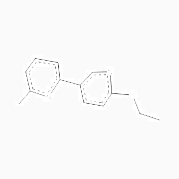 CCOc1ccc(-c2cccc(C)n2)cn1